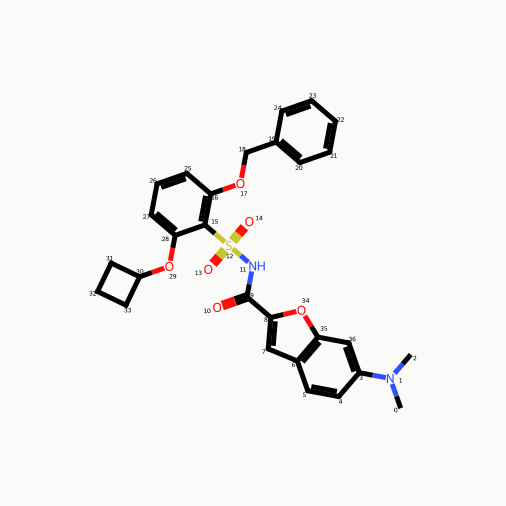 CN(C)c1ccc2cc(C(=O)NS(=O)(=O)c3c(OCc4ccccc4)cccc3OC3CCC3)oc2c1